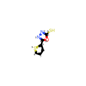 Sc1nnc(-c2cccs2)o1